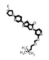 C[Si](C)(C)CCOCOc1cc(N2Cc3nn(-c4ccc(N5CC[C@H](F)C5)nc4)cc3C2=O)ccn1